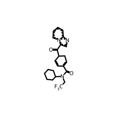 O=C(c1cnc2ccccn12)C1C=CC(C(=O)N(CC(F)(F)F)C2CCCCC2)=CC1